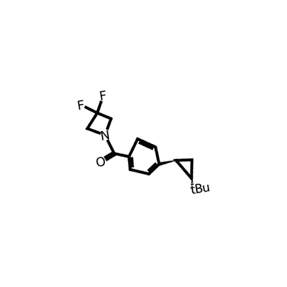 CC(C)(C)[C@H]1C[C@@H]1c1ccc(C(=O)N2CC(F)(F)C2)cc1